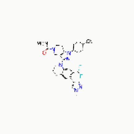 CNC(=O)N1CCc2c(c(N3CCCc4cc(-c5cnn(C)c5)c(C(F)F)cc43)nn2C2CCC(C#N)CC2)C1